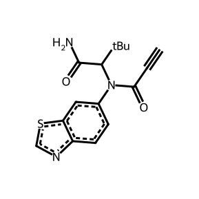 C#CC(=O)N(c1ccc2ncsc2c1)C(C(N)=O)C(C)(C)C